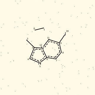 CC.Cc1cnc2ccc(I)cn12